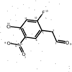 O=CCc1cc([N+](=O)[O-])c(Cl)cc1F